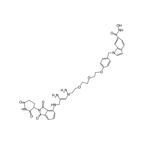 N/C(=C\N(N)CCOCCOCCOc1ccc(Cn2ccc3ccc(C(=O)NO)cc32)cc1)CNc1cccc2c1C(=O)N(C1CCC(=O)NC1=O)C2=O